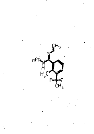 C=C/N=C(/NCCC)c1cccc(C(C)(F)F)c1C